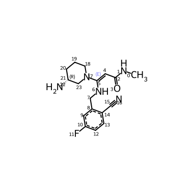 CNC(=O)/C=C(\NCc1cc(F)ccc1C#N)N1CCC[C@@H](N)C1